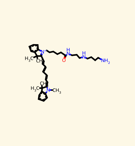 CN1/C(=C/C=C/C=C/C=C/C2=[N+](CCCCCC(=O)NCCCNCCCCN)c3ccccc3C2(C)C)C(C)(C)c2ccccc21